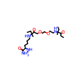 CCC(=O)C(C)(CC)NCCOCCOCC(=O)C(C)(CC)NCCCCC(NC)C(N)=O